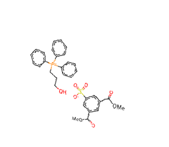 COC(=O)c1cc(C(=O)OC)cc(S(=O)(=O)[O-])c1.OCCC[P+](c1ccccc1)(c1ccccc1)c1ccccc1